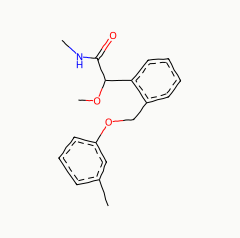 CNC(=O)C(OC)c1ccccc1COc1cccc(C)c1